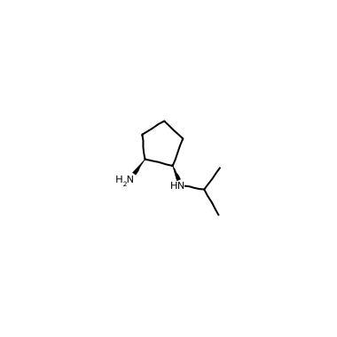 CC(C)N[C@@H]1CCC[C@@H]1N